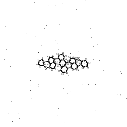 c1ccc2c(c1)Sc1ccc(-c3c4ccccc4c(-c4ccc5c6c(cccc46)-c4ccccc4S5)c4ccccc34)c3cccc-2c13